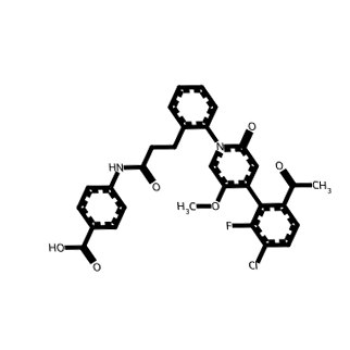 COc1cn(-c2ccccc2CCC(=O)Nc2ccc(C(=O)O)cc2)c(=O)cc1-c1c(C(C)=O)ccc(Cl)c1F